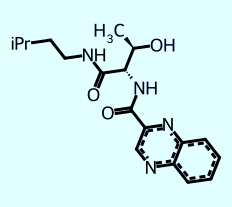 CC(C)CCNC(=O)[C@@H](NC(=O)c1cnc2ccccc2n1)[C@@H](C)O